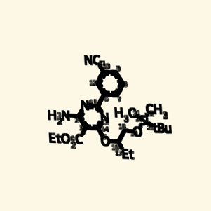 CCOC(=O)c1c(N)nc(-c2cccc(C#N)c2)nc1OC(CC)CO[Si](C)(C)C(C)(C)C